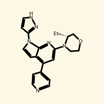 CC[C@@H]1COCCN1c1cc(-c2ccncc2)c2ccn(-c3cc[nH]n3)c2n1